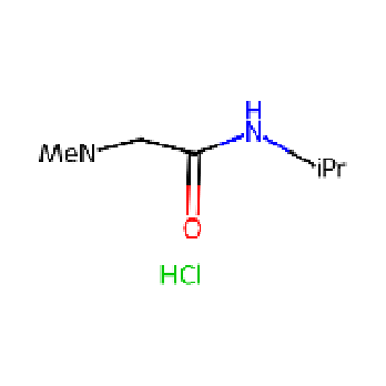 CNCC(=O)NC(C)C.Cl